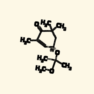 COC(C)(C)O[C@@H]1C=C(C)C(=O)C(C)(C)C1